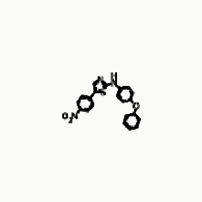 O=[N+]([O-])c1ccc(-c2cnc(Nc3ccc(Oc4ccccc4)cc3)s2)cc1